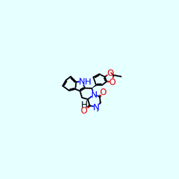 CC1Oc2ccc([C@@H]3c4[nH]c5ccccc5c4C[C@@H]4C(=O)N(C)CC(=O)N34)cc2O1